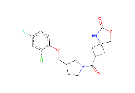 O=C1NC2(CO1)CC(C(=O)N1CCC(COc3ccc(F)cc3Cl)C1)C2